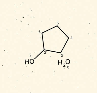 O.OC1CCCC1